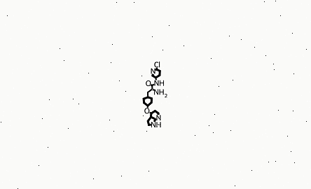 NC(Cc1ccc(Oc2ccnc3[nH]ccc23)cc1)C(=O)Nc1ccc(Cl)nc1